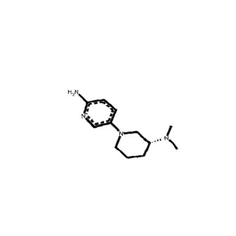 CN(C)[C@@H]1CCCN(c2ccc(N)nc2)C1